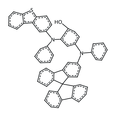 Oc1ccc(N(c2ccccc2)c2ccc3c(c2)-c2ccccc2C32c3ccccc3-c3ccccc32)cc1N(c1ccccc1)c1ccc2sc3ccccc3c2c1